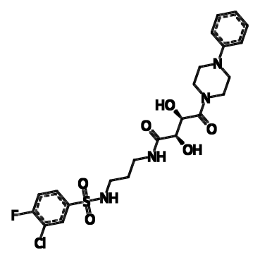 O=C(NCCCNS(=O)(=O)c1ccc(F)c(Cl)c1)[C@H](O)[C@@H](O)C(=O)N1CCN(c2ccccc2)CC1